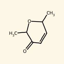 CC1C=CC(=O)C(C)O1